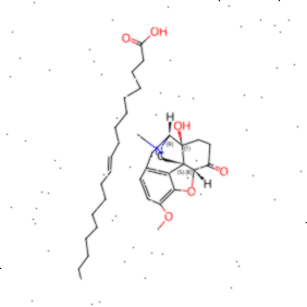 CCCCCCCCC=CCCCCCCCC(=O)O.COc1ccc2c3c1O[C@H]1C(=O)CC[C@@]4(O)[C@@H](C2)N(C)CC[C@]314